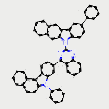 c1ccc(-c2ccc3c(c2)c2cc4ccccc4cc2n3-c2nc(-c3ccc4c5c6ccccc6ccc5n(-c5ccccc5)c4c3)c3ccccc3n2)cc1